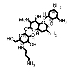 CNC1C(O[C@H]2OC(CO)[C@@H](NCCCN)C(O)C2O)O[C@H]2CC(N)[C@@H](O[C@@H]3C(N)C[C@@H](N)CC3O)OC2C1O